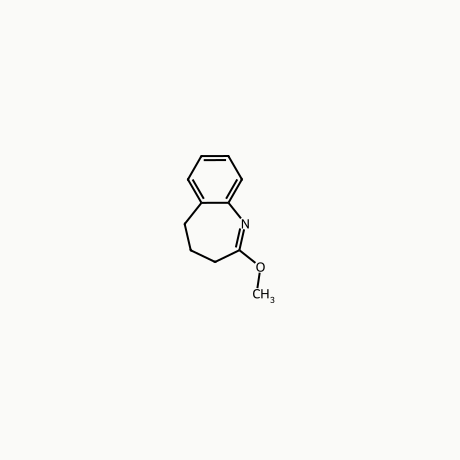 COC1=Nc2ccccc2CCC1